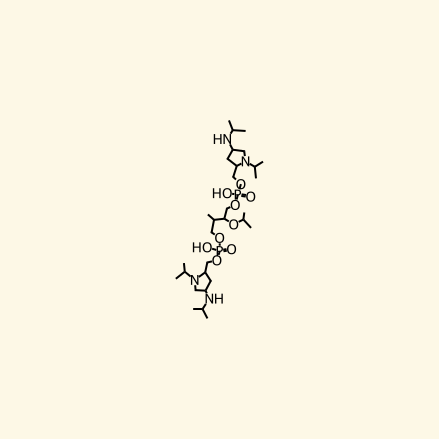 CC(C)NC1CC(COP(=O)(O)OCC(C)C(COP(=O)(O)OCC2CC(NC(C)C)CN2C(C)C)OC(C)C)N(C(C)C)C1